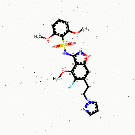 COc1cccc(OC)c1S(=O)(=O)Nc1noc2cc(CCn3cccn3)c(F)c(OC)c12